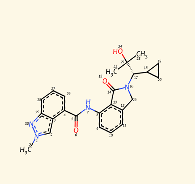 Cn1cc2c(C(=O)Nc3cccc4c3C(=O)N([C@@H](C3CC3)C(C)(C)O)C4)cccc2n1